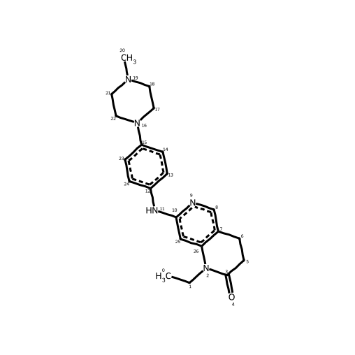 CCN1C(=O)CCc2cnc(Nc3ccc(N4CCN(C)CC4)cc3)cc21